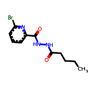 CCCCC(=O)NNC(=O)c1cccc(Br)n1